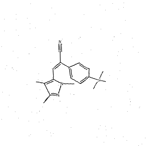 Cc1nn(C)c(/[C]=C(/C#N)c2ccc([Si](C)(C)C)cc2)c1C